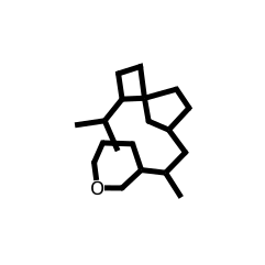 CC(C)C1CCC12CCC(CC(C)C1CCCOC1)C2